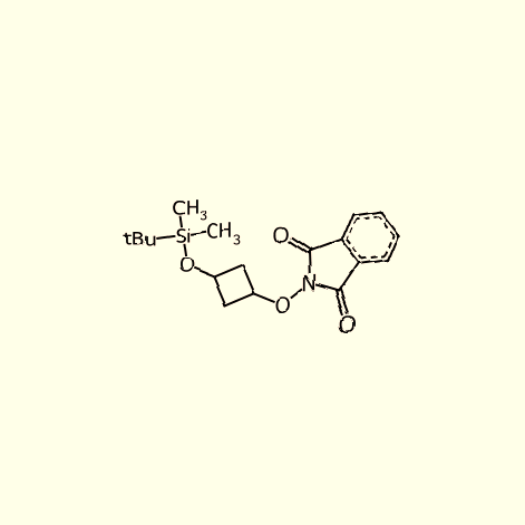 CC(C)(C)[Si](C)(C)OC1CC(ON2C(=O)c3ccccc3C2=O)C1